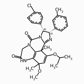 COC1(C)C=C(OC(C)C)C2(C)C3=N[C@@H](c4cccc(C)c4)[C@@H](c4ccc(Cl)cc4)N3C(=O)N3CC(=O)NC1=C32